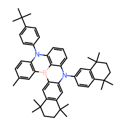 Cc1ccc2c(c1)B1c3cc4c(cc3N(c3ccc5c(c3)C(C)(C)CCC5(C)C)c3cccc(c31)N2c1ccc(C(C)(C)C)cc1)C(C)(C)CCC4(C)C